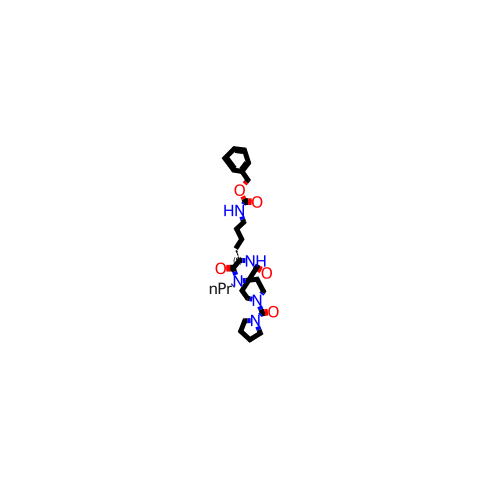 CCCN1C(=O)[C@H](CCCCNC(=O)OCc2ccccc2)NC(=O)C12CCN(C(=O)N1CCCC1)CC2